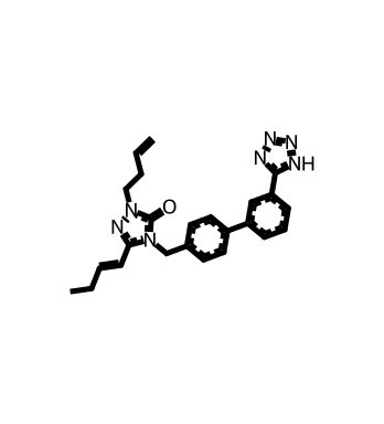 C=CCCn1nc(C=CCC)n(Cc2ccc(-c3cccc(-c4nnn[nH]4)c3)cc2)c1=O